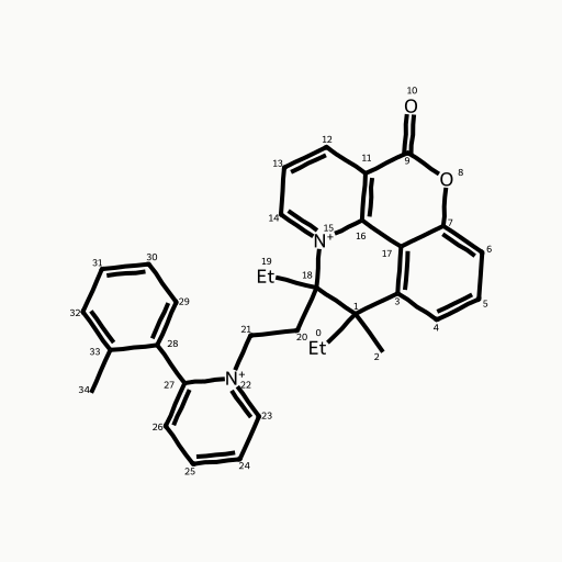 CCC1(C)c2cccc3oc(=O)c4ccc[n+](c4c23)C1(CC)CC[n+]1ccccc1-c1ccccc1C